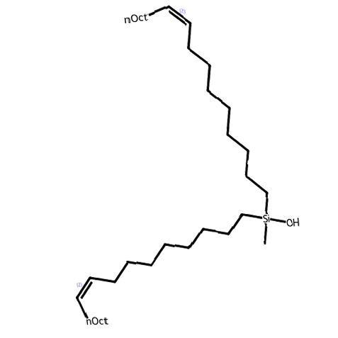 CCCCCCCC/C=C\CCCCCCCC[Si](C)(O)CCCCCCCC/C=C\CCCCCCCC